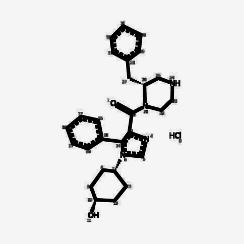 Cl.O=C(c1ncn([C@H]2CC[C@H](O)CC2)c1-c1ccccc1)N1CCNC[C@H]1Cc1ccccc1